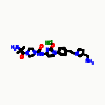 CC(C)(N)C(=O)N1CCN(C(=O)Nc2ccn(-c3ccc(CCN4CC[C@@H](CN)C4)cc3)c(=O)n2)CC1.Cl